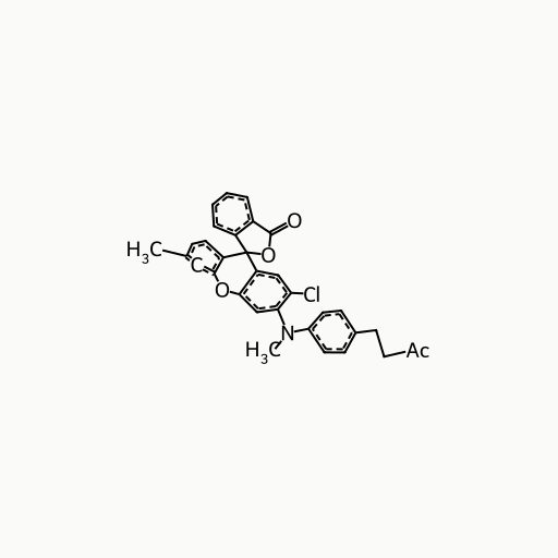 CC(=O)CCc1ccc(N(C)c2cc3c(cc2Cl)C2(OC(=O)c4ccccc42)c2ccc(C)cc2O3)cc1